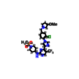 CO[C@@H]1CCN(Cc2ccc(-n3cnc(-c4nc(NC5CCN(S(C)(=O)=O)CC5)ncc4C(F)(F)F)c3)c(Cl)c2)C1